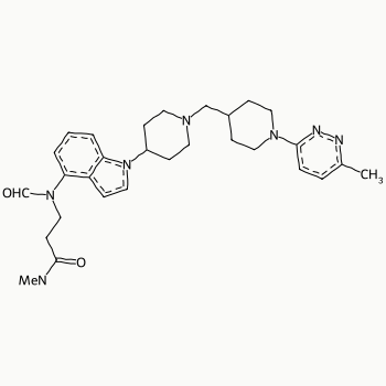 CNC(=O)CCN(C=O)c1cccc2c1ccn2C1CCN(CC2CCN(c3ccc(C)nn3)CC2)CC1